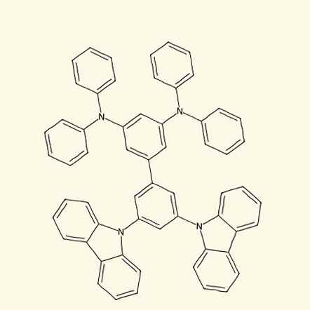 c1ccc(N(c2ccccc2)c2cc(-c3cc(-n4c5ccccc5c5ccccc54)cc(-n4c5ccccc5c5ccccc54)c3)cc(N(c3ccccc3)c3ccccc3)c2)cc1